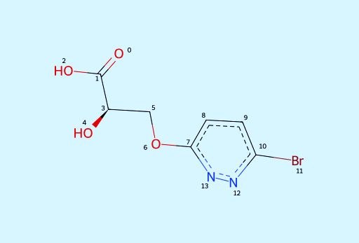 O=C(O)[C@H](O)COc1ccc(Br)nn1